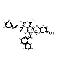 C[C@H]1C2N(C(=O)CN(C)N2C(=O)NCc2ccccc2)[C@@H](Cc2ccc(O)cc2)C(=O)N1Cc1cccc2ccccc12